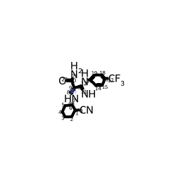 N#CC1CCCC[C@@H]1N/C=C(\C(=N)Nc1ccc(C(F)(F)F)cc1)C(N)=O